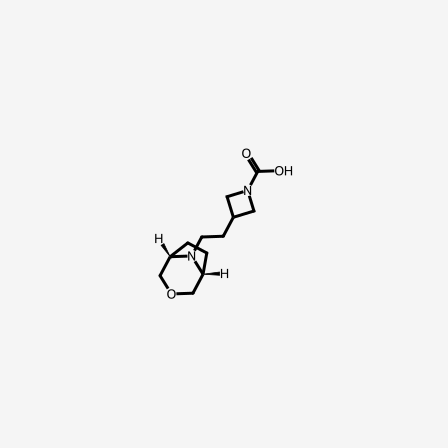 O=C(O)N1CC(CCN2[C@@H]3CC[C@H]2COC3)C1